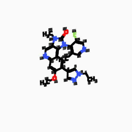 CCn1cc(-c2cc3c(cc2OC)ncc2c3n(-c3c(C)cncc3F)c(=O)n2C)cn1